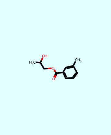 Cc1cccc(C(=O)O[CH]C(C)O)c1